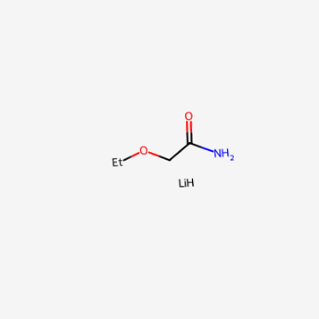 CCOCC(N)=O.[LiH]